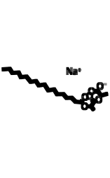 CCCCCCCCCCCCCCCCCC(=O)OC(C)C(=O)OC(C)C(=O)[O-].[Na+]